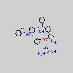 NC(Cc1ccccc1)C(c1ccccc1)c1ccccc1.NC1CCCC1OCc1ccccc1.NC1CCc2ccccc21.NCCN.[CH]1CC1